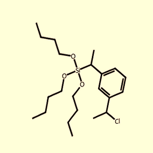 CCCCO[Si](OCCCC)(OCCCC)C(C)c1cccc(C(C)Cl)c1